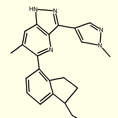 Cc1cc2[nH]nc(-c3cnn(C)c3)c2nc1-c1cccc2c1CCC2CO